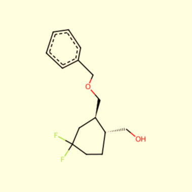 OC[C@@H]1CCC(F)(F)C[C@H]1COCc1ccccc1